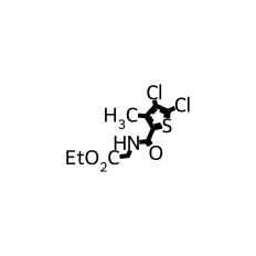 CCOC(=O)CNC(=O)c1sc(Cl)c(Cl)c1C